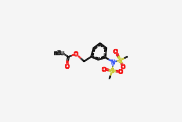 CCCCC(=O)OCc1cccc(N(S(C)(=O)=O)S(C)(=O)=O)c1